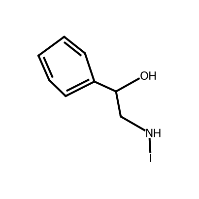 OC(CNI)c1ccccc1